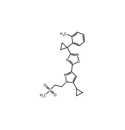 Cc1ccccc1C1(c2noc(-c3cc(C4CC4)n(CCS(C)(=O)=O)n3)n2)CC1